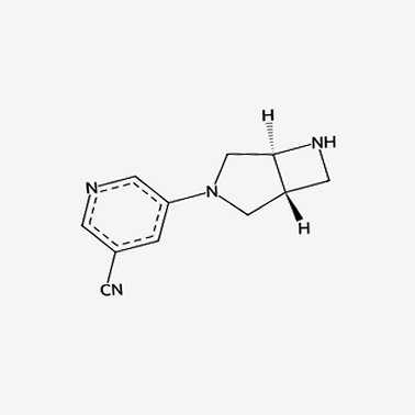 N#Cc1cncc(N2C[C@H]3CN[C@@H]3C2)c1